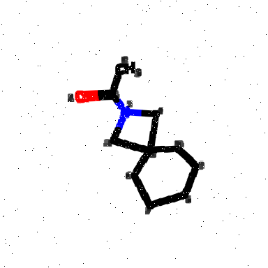 CC(=O)N1CC2(CCCCC2)C1